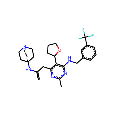 C=C(Cc1nc(C)nc(NCc2cccc(C(F)(F)F)c2)c1C1CCCO1)NC12CCN(CC1)CC2